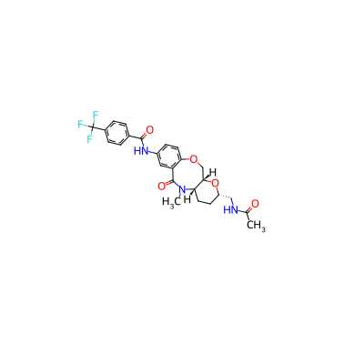 CC(=O)NC[C@@H]1CC[C@H]2[C@H](COc3ccc(NC(=O)c4ccc(C(F)(F)F)cc4)cc3C(=O)N2C)O1